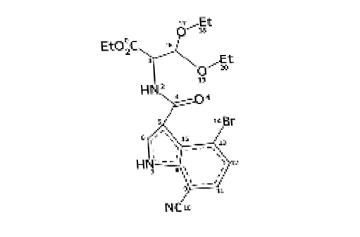 CCOC(=O)C(NC(=O)c1c[nH]c2c(C#N)ccc(Br)c12)C(OCC)OCC